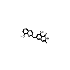 Cc1cc2cc(Cc3ccc4cccc(O)c4n3)cc(O)c2c(=O)[nH]1